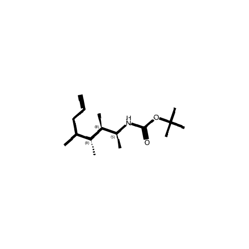 C=CCC(C)[C@@H](C)[C@@H](C)[C@H](C)NC(=O)OC(C)(C)C